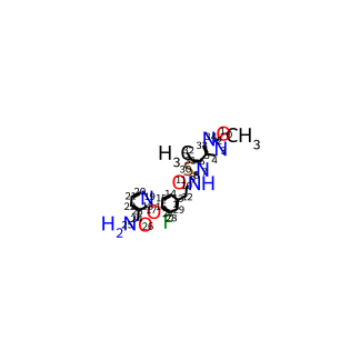 COc1ncc(-c2nc(NC(=O)Cc3ccc(Oc4ncccc4C(N)=O)c(F)c3)sc2C)cn1